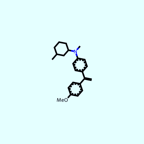 C=C(c1ccc(OC)cc1)c1ccc(N(C)C2CCCC(C)C2)cc1